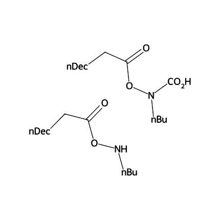 CCCCCCCCCCCC(=O)ON(CCCC)C(=O)O.CCCCCCCCCCCC(=O)ONCCCC